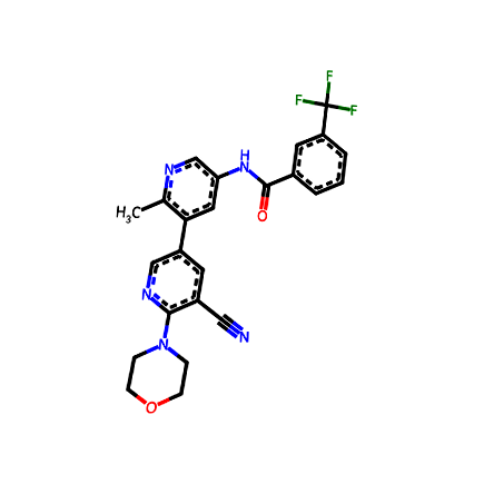 Cc1ncc(NC(=O)c2cccc(C(F)(F)F)c2)cc1-c1cnc(N2CCOCC2)c(C#N)c1